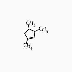 CC1=CC(C)C(C)C1